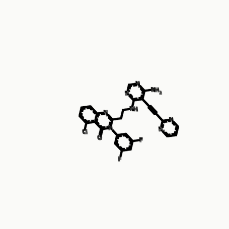 Nc1ncnc(NCCc2nc3cccc(Cl)c3c(=O)n2-c2cc(F)cc(F)c2)c1C#Cc1ncccn1